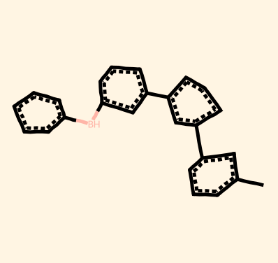 Cc1cccc(-c2cccc(-c3cccc(Bc4ccccc4)c3)c2)c1